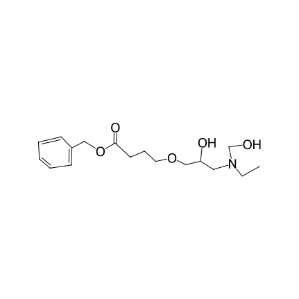 CCN(CO)CC(O)COCCCC(=O)OCc1ccccc1